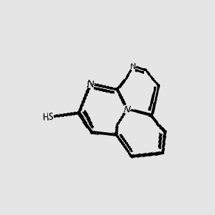 SC1=CC2=CC=CC3=CC=NC(=N1)N32